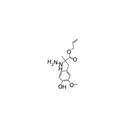 C=CCOC(=O)C(C)(Cc1ccc(O)c(OC)c1)NN